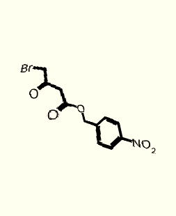 O=C(CBr)CC(=O)OCc1ccc([N+](=O)[O-])cc1